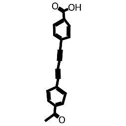 CC(=O)c1ccc(C#CC#Cc2ccc(C(=O)O)cc2)cc1